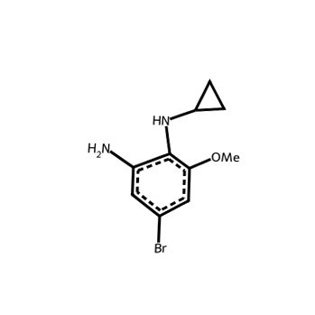 COc1cc(Br)cc(N)c1NC1CC1